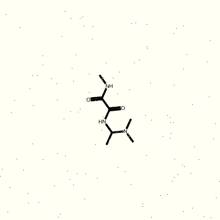 CNC(=O)C(=O)NC(C)N(C)C